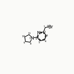 BrCc1cccc(N2CCCC2)n1